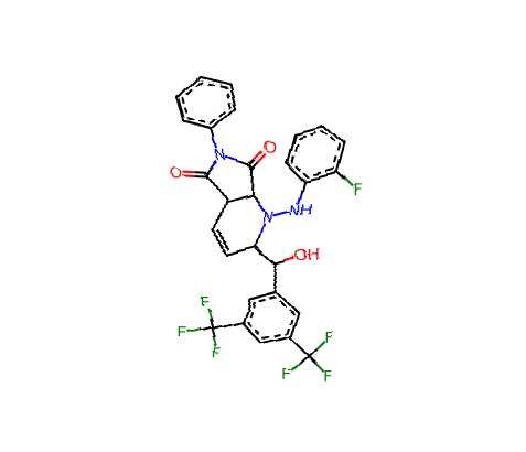 O=C1C2C=CC(C(O)c3cc(C(F)(F)F)cc(C(F)(F)F)c3)N(Nc3ccccc3F)C2C(=O)N1c1ccccc1